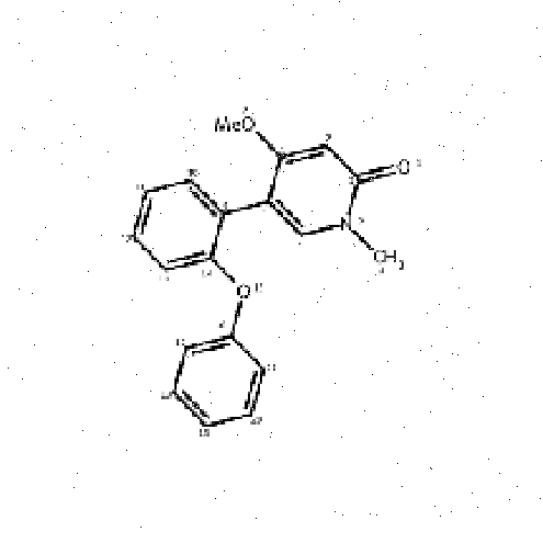 COc1cc(=O)n(C)cc1-c1ccccc1Oc1ccccc1